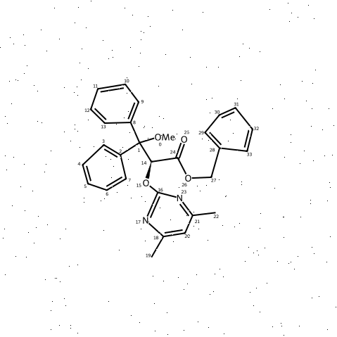 COC(c1ccccc1)(c1ccccc1)[C@H](Oc1nc(C)cc(C)n1)C(=O)OCc1ccccc1